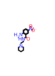 Nc1ccc([N+](=O)[O-])cc1C(=O)NCCN1CCCCC1